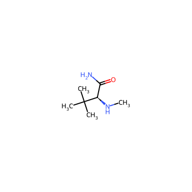 CN[C@H](C(N)=O)C(C)(C)C